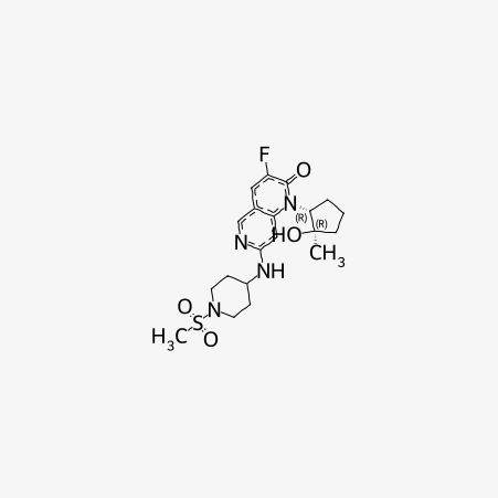 C[C@@]1(O)CCC[C@H]1n1c(=O)c(F)cc2cnc(NC3CCN(S(C)(=O)=O)CC3)cc21